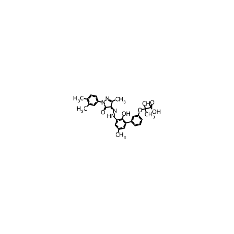 CC1=NN(c2ccc(C)c(C)c2)C(=O)/C1=N\Nc1cc(C)cc(-c2cccc(OC(C)(C)C(=O)O)c2)c1O